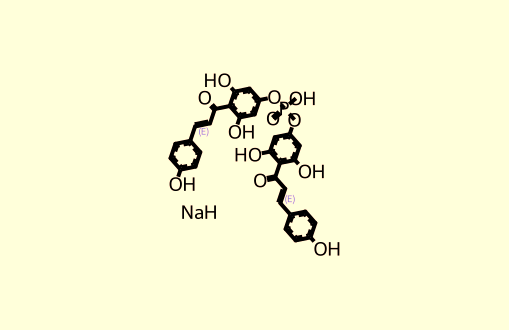 O=C(/C=C/c1ccc(O)cc1)c1c(O)cc(OP(=O)(O)Oc2cc(O)c(C(=O)/C=C/c3ccc(O)cc3)c(O)c2)cc1O.[NaH]